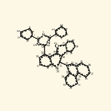 c1ccc(-c2nc(-c3ccccc3)nc(-c3cccc4nc(-c5cc6ccccc6c6ccccc56)c5c6ccccc6oc5c34)n2)cc1